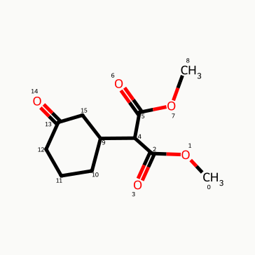 COC(=O)C(C(=O)OC)C1CCCC(=O)C1